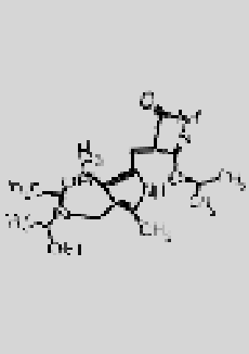 Cc1[nH]c(C=C2C(=O)NN=C2OC(C)C)c(C)c1CN(C(C)O)C(C)O